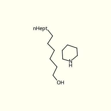 C1CCNCC1.CCCCCCCCCCCCCO